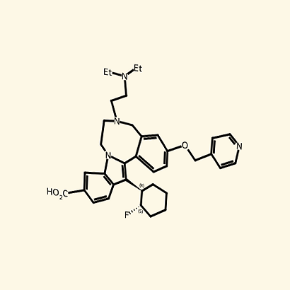 CCN(CC)CCN1CCn2c(c([C@H]3CCCC[C@@H]3F)c3ccc(C(=O)O)cc32)-c2ccc(OCc3ccncc3)cc2C1